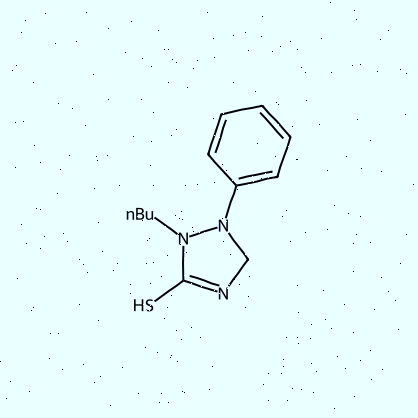 CCCCN1C(S)=NCN1c1ccccc1